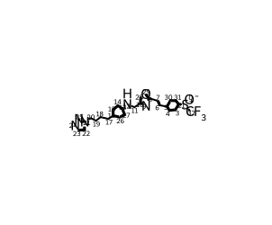 [O-][S+](c1ccc(/C=C/c2nc(CNc3ccc(CCCCn4ccnn4)cc3)co2)cc1)C(F)(F)F